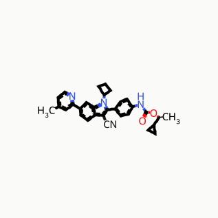 Cc1ccnc(-c2ccc3c(C#N)c(-c4ccc(NC(=O)O[C@H](C)C5CC5)cc4)n(C4CCC4)c3c2)c1